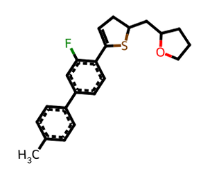 Cc1ccc(-c2ccc(C3=CCC(CC4CCCO4)S3)c(F)c2)cc1